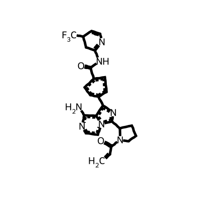 C=CC(=O)N1CCCC1c1nc(-c2ccc(C(=O)NC3=NC=CC(C(F)(F)F)C3)cc2)c2c(N)nccn12